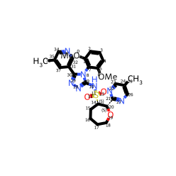 COc1cccc(OC)c1-n1c(NS(=O)(=O)[C@H]2CCCCO[C@H]2c2ncc(C)cn2)nnc1-c1cncc(C)c1